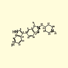 CC1c2cc(-c3c[nH]c4cc(F)ccc34)ccc2SN1CC1CCN(C)CC1